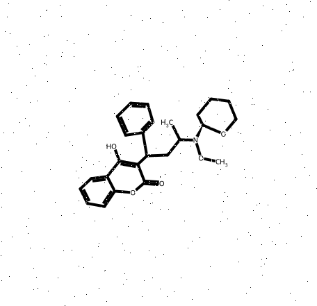 CON(C(C)CC(c1ccccc1)c1c(O)c2ccccc2oc1=O)[C@H]1CCCCO1